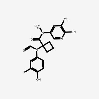 CN(C(=O)C1(N(C=S)c2ccc(O)c(F)c2)CCC1)c1cnc(C#N)c(C(F)(F)F)c1